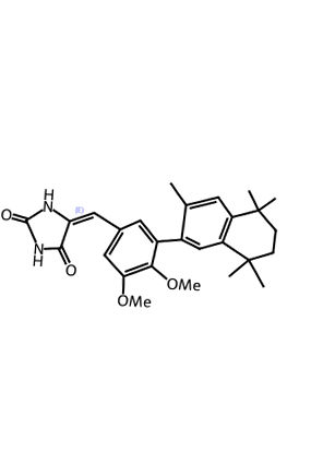 COc1cc(/C=C2/NC(=O)NC2=O)cc(-c2cc3c(cc2C)C(C)(C)CCC3(C)C)c1OC